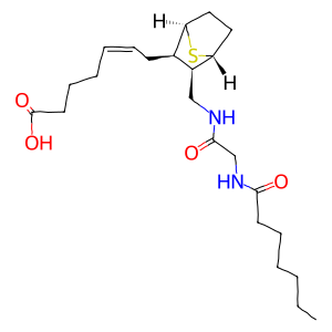 CCCCCCC(=O)NCC(=O)NC[C@H]1[C@@H](C/C=C\CCCC(=O)O)[C@H]2CC[C@H]1S2